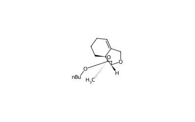 CCCCO[C@]1(C)C[C@@H]2OCC3=CCCC[C@]32O1